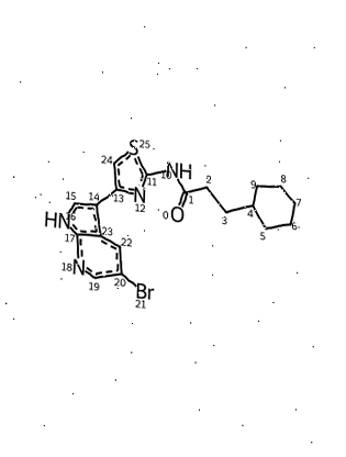 O=C(CCC1CCCCC1)Nc1nc(-c2c[nH]c3ncc(Br)cc23)cs1